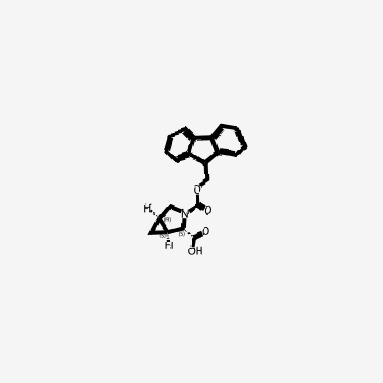 O=C(O)[C@@H]1[C@H]2C[C@H]2CN1C(=O)OCC1c2ccccc2-c2ccccc21